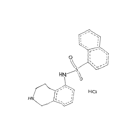 Cl.O=S(=O)(Nc1cccc2c1CCNC2)c1cccc2ccccc12